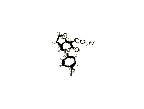 O=C(O)c1c2c(cn(-c3ccc(F)cc3)c1=O)CCO2